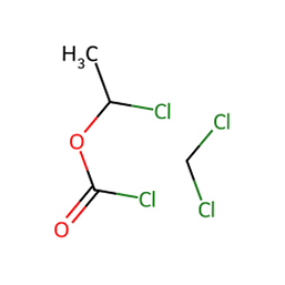 CC(Cl)OC(=O)Cl.ClCCl